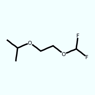 CC(C)OCCOC(F)F